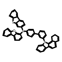 C1=Cc2ccc3c4ccccc4n(-c4cccc(-c5ccc(N(c6ccc7c(c6)sc6ccccc67)c6cccc7c6oc6ccccc67)cc5)c4)c3c2CC1